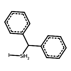 I[SiH2]C(c1ccccc1)c1ccccc1